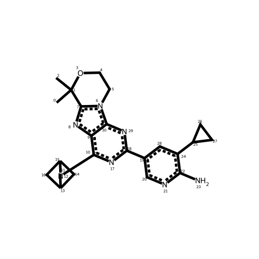 CC1(C)OCCn2c1nc1c(N3CC4CC3C4)nc(-c3cnc(N)c(C4CC4)c3)nc12